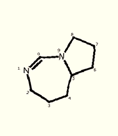 C1=NCCCC2CCCN12